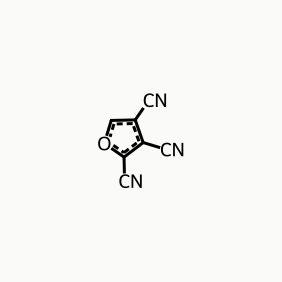 N#Cc1coc(C#N)c1C#N